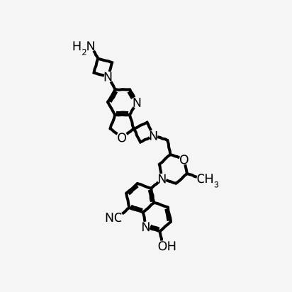 CC1CN(c2ccc(C#N)c3nc(O)ccc23)CC(CN2CC3(C2)OCc2cc(N4CC(N)C4)cnc23)O1